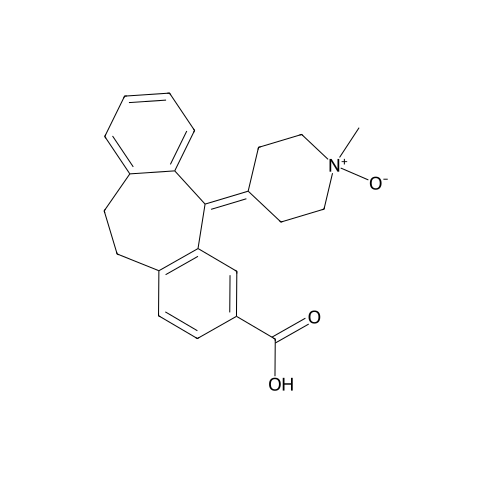 C[N+]1([O-])CCC(=C2c3ccccc3CCc3ccc(C(=O)O)cc32)CC1